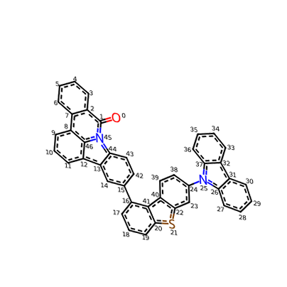 O=c1c2ccccc2c2cccc3c4cc(-c5cccc6sc7cc(-n8c9ccccc9c9ccccc98)ccc7c56)ccc4n1c23